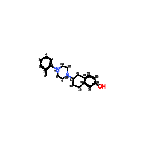 Cc1ccccc1N1CCN(C2CCc3cc(O)ccc3C2)CC1